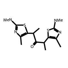 CNc1nc(C)c(C(C)C(=O)C(C)c2sc(NC)nc2C)s1